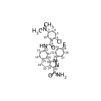 CN(C)c1ccc(Cl)c(C(=O)Nc2ccc3c(c2)-c2c(c(C(N)=O)nn2-c2ccc(F)cc2)CC3)c1